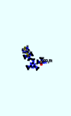 C1CN1c1nc(N2CC2)nc(N2CC2)n1.CCOC(=O)NP(=O)(N1CC1)N1CC1.CN(C)P(=S)(N(C)C)N(C)C.S=P(N1CC1)(N1CC1)N1CC1